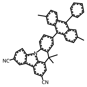 Cc1ccc2c(-c3ccc4c(c3)C(C)(C)c3cc(C#N)cc5c6cc(C#N)ccc6n-4c35)c3cc(C)ccc3c(-c3ccccc3)c2c1